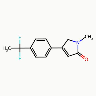 CN1CC(c2ccc(C(C)(F)F)cc2)=CC1=O